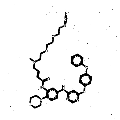 CN(C/C=C/C(=O)Nc1cc(Nc2cc(Oc3ccc(Oc4ccccc4)cc3)ncn2)ccc1N1CCOCC1)CCOCCOCCN=[N+]=[N-]